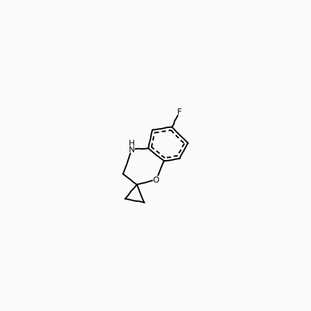 Fc1ccc2c(c1)NCC1(CC1)O2